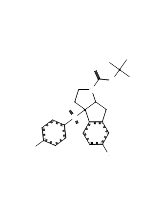 CC(C)(C)OC(=O)N1CCC2(S(=O)(=O)c3ccc(F)cc3)c3ccc(Br)cc3CC12